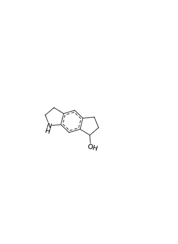 OC1CCc2cc3c(cc21)NCC3